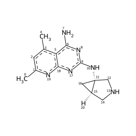 Cc1cc(C)c2c(N)nc(N[C@]34CNC[C@H]3C4)nc2n1